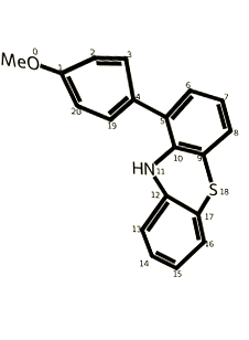 COc1ccc(-c2cccc3c2Nc2ccccc2S3)cc1